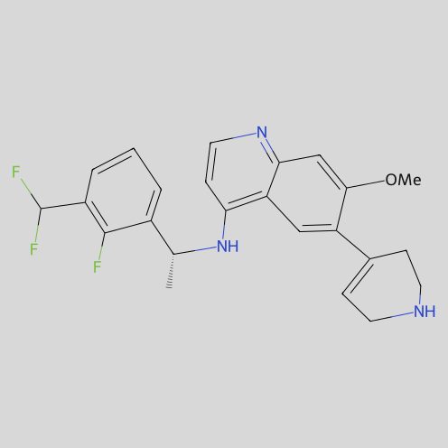 COc1cc2nccc(N[C@H](C)c3cccc(C(F)F)c3F)c2cc1C1=CCNCC1